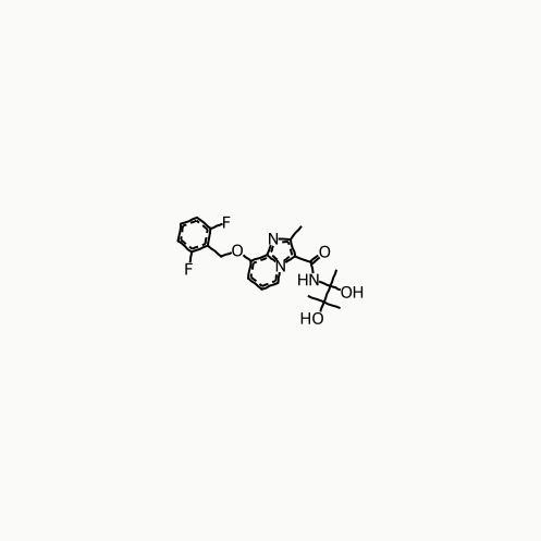 Cc1nc2c(OCc3c(F)cccc3F)cccn2c1C(=O)NC(C)(O)C(C)(C)O